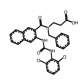 O=C(O)CCN(Cc1ccccc1)C(=O)c1cc2ccccc2cc1NC(=O)Nc1c(Cl)cccc1Cl